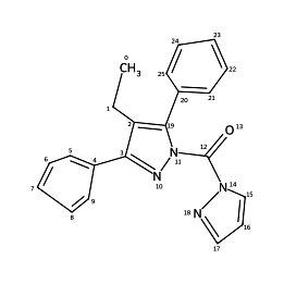 CCc1c(-c2ccccc2)nn(C(=O)n2cccn2)c1-c1ccccc1